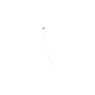 [CH2]CCCCCCCCCCSC(C)=O